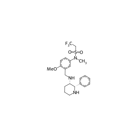 COc1ccc(N(C)S(=O)(=O)CC(F)(F)F)cc1CN[C@H]1CCCN[C@H]1c1ccccc1